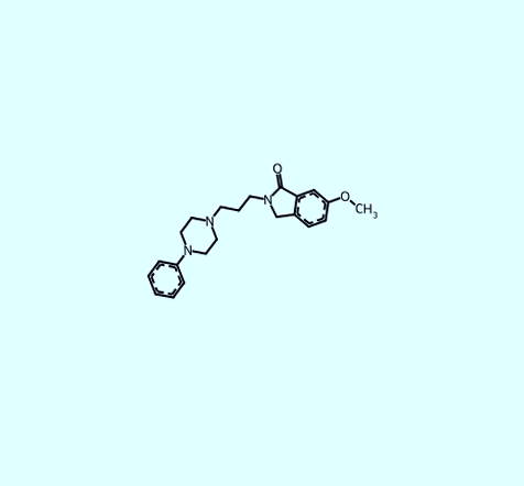 COc1ccc2c(c1)C(=O)N(CCCN1CCN(c3ccccc3)CC1)C2